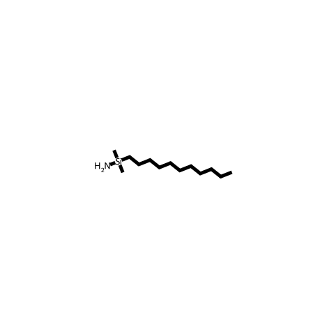 CCCCCCCCCCC[Si](C)(C)N